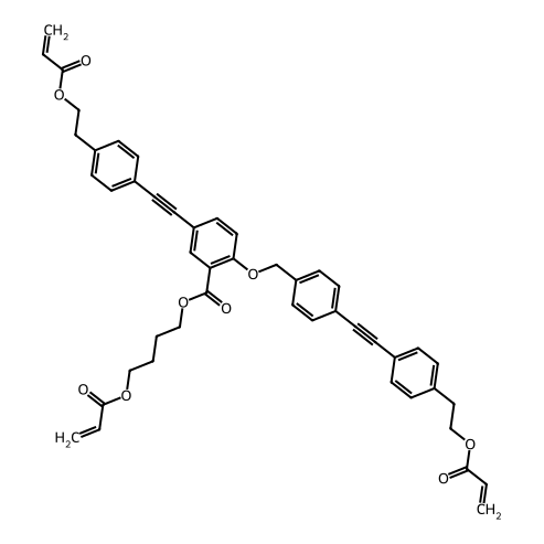 C=CC(=O)OCCCCOC(=O)c1cc(C#Cc2ccc(CCOC(=O)C=C)cc2)ccc1OCc1ccc(C#Cc2ccc(CCOC(=O)C=C)cc2)cc1